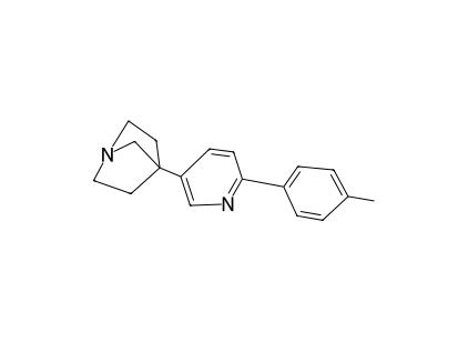 Cc1ccc(-c2ccc(C34CCN(CC3)C4)cn2)cc1